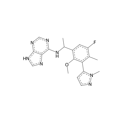 COc1c(C(C)Nc2ncnc3[nH]cnc23)cc(F)c(C)c1-c1ccnn1C